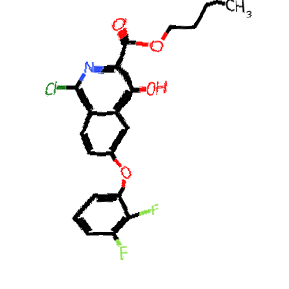 CCCCOC(=O)c1nc(Cl)c2ccc(Oc3cccc(F)c3F)cc2c1O